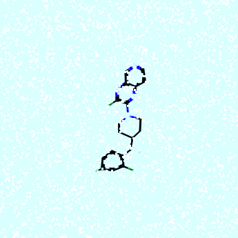 Fc1ccc([C@@H](F)C2CCN(c3nc4ccncc4nc3Cl)CC2)c(F)c1